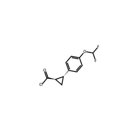 O=C(Cl)[C@@H]1C[C@H]1c1ccc(OC(F)F)cc1